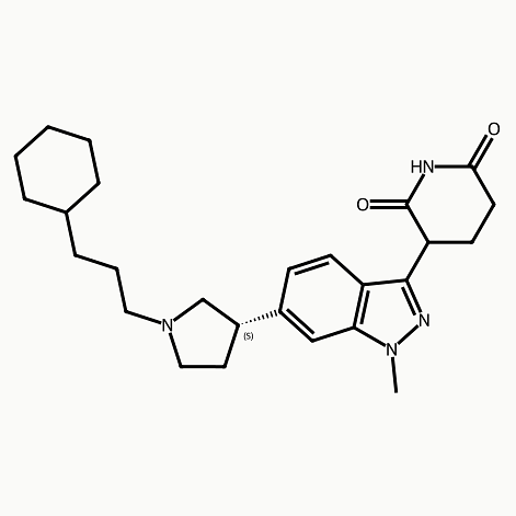 Cn1nc(C2CCC(=O)NC2=O)c2ccc([C@@H]3CCN(CCCC4CCCCC4)C3)cc21